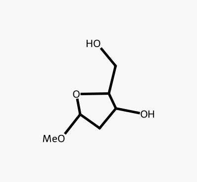 COC1CC(O)C(CO)O1